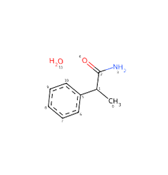 CC(C(N)=O)c1ccccc1.O